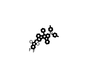 Cc1ccc(N(c2ccc(C)cc2)c2cc3c(-c4ccccc4)c4c5cccc6c(C=C7C(=O)c8cc(F)c(F)cc8C7=O)ccc(c65)c4c4c5ccccc5c(c2)c34)cc1